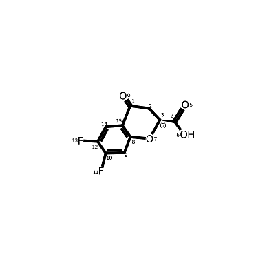 O=C1C[C@@H](C(=O)O)Oc2cc(F)c(F)cc21